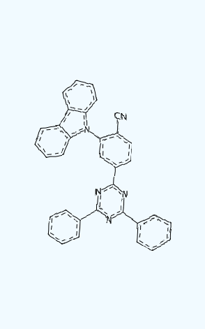 N#Cc1ccc(-c2nc(-c3ccccc3)nc(-c3ccccc3)n2)cc1-n1c2ccccc2c2ccccc21